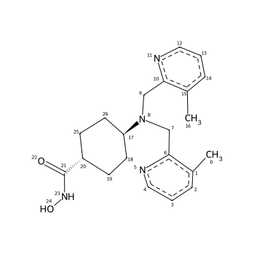 Cc1cccnc1CN(Cc1ncccc1C)[C@H]1CC[C@H](C(=O)NO)CC1